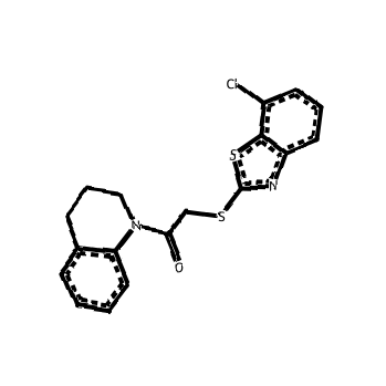 O=C(CSc1nc2cccc(Cl)c2s1)N1CCCc2ccccc21